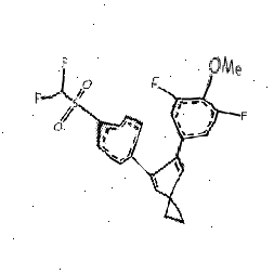 COc1c(F)cc(C2=CC3(C=C2c2ccc(S(=O)(=O)C(F)F)cc2)CC3)cc1F